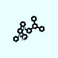 C1=C(c2ccccc2)C=C(c2ccccc2)CC1c1cccc(-n2c3ccccc3c3ccc4c(c5cccnc5n4-c4ccccc4)c32)c1